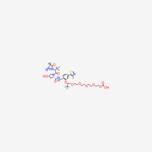 Cc1ncsc1-c1ccc(CNC(=O)[C@@H]2C[C@@H](O)CN2C(=O)C(NC(=O)C2(C#N)CC2)C(C)(C)C)c(OC(COCCOCCOCCOCCOC(=O)O)C(C)(C)C)c1